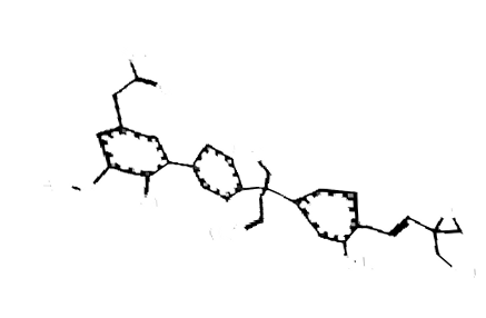 CCC1(/C=C/c2ccc(C(CC)(CC)c3ccc(-c4cc(CC(=O)O)cc(OC)c4O)cc3)cc2C)CO1